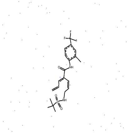 C=C/C=C(\C=C/CNS(=O)(=O)C(C)(C)C)C(=O)Nc1ccc(C(F)(F)F)cc1C